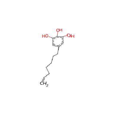 C=CCCCCCc1cc(O)c(O)c(O)c1